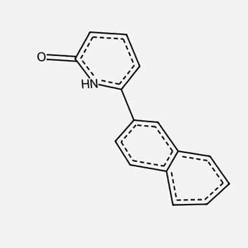 O=c1cccc(-c2ccc3ccccc3c2)[nH]1